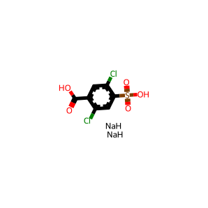 O=C(O)c1cc(Cl)c(S(=O)(=O)O)cc1Cl.[NaH].[NaH]